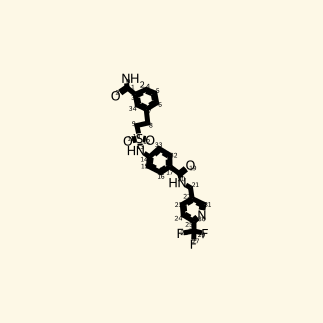 NC(=O)c1cccc(CCS(=O)(=O)Nc2ccc(C(=O)NCc3ccc(C(F)(F)F)nc3)cc2)c1